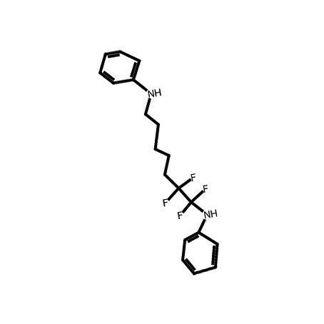 FC(F)(CCCCCNc1ccccc1)C(F)(F)Nc1ccccc1